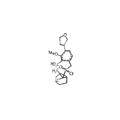 COc1c(C2CCOC2)ccc(CS(=O)(=O)C2(C)CC3CCC2CC3)c1C(=O)O